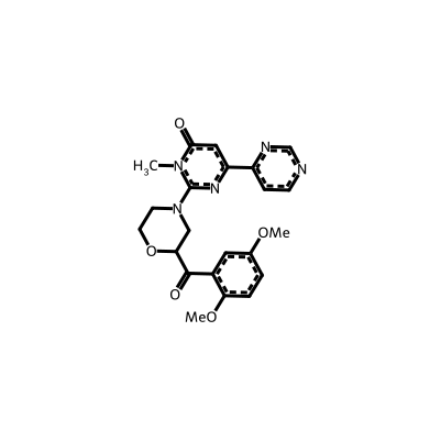 COc1ccc(OC)c(C(=O)C2CN(c3nc(-c4ccncn4)cc(=O)n3C)CCO2)c1